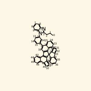 CCCc1nc2ccccc2n1-c1cccc(-c2cc3c(c4ccccc24)C2(c4ccccc4-c4ccccc42)c2c-3c3ccccc3c3ccccc23)c1